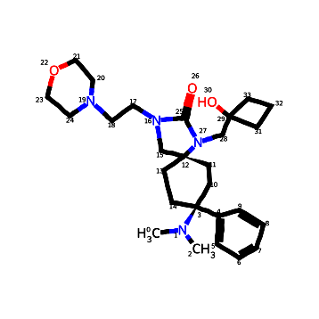 CN(C)[C@]1(c2ccccc2)CC[C@@]2(CC1)CN(CCN1CCOCC1)C(=O)N2CC1(O)CCC1